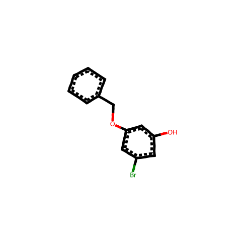 Oc1cc(Br)cc(OCc2ccccc2)c1